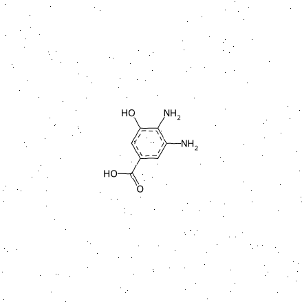 Nc1cc(C(=O)O)cc(O)c1N